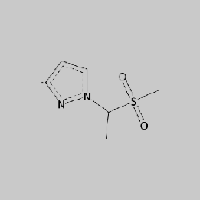 CC(n1cc[c]n1)S(C)(=O)=O